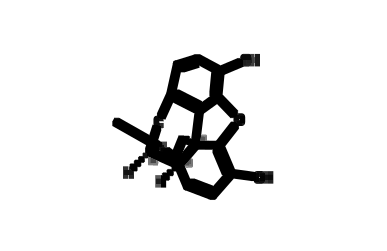 CN1CC[C@]23C4=C(O)C=C[C@H]2[C@H]1Cc1ccc(O)c(c13)O4